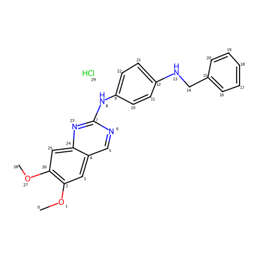 COc1cc2cnc(Nc3ccc(NCc4ccccc4)cc3)nc2cc1OC.Cl